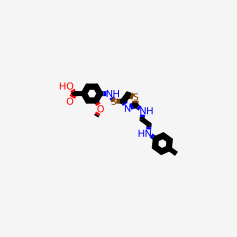 COc1cc(C(=O)O)ccc1NSc1csc(NCCNc2ccc(C)cc2)n1